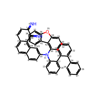 N=C1C=Cc2ccc3ccc(N(c4ccccc4-c4ccccc4-c4ccccc4)c4cccc5oc6ccccc6c45)cc3c2C1=N